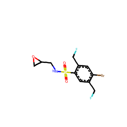 O=S(=O)(NCC1CO1)c1cc(CF)c(Br)cc1CF